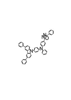 c1ccc(-c2ccc3c(c2)c2cc(-c4ccccc4)ccc2n3-c2ccc(N(c3ccccc3)c3ccc(-c4nnc(-c5ccccc5)o4)cc3)cc2)cc1